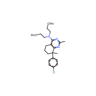 COCCN(CCOC)c1nc(C)nc2c1CCCC2(C)c1ccc(Cl)cc1